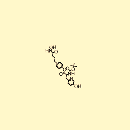 CC(C)(C)OC(=O)NC(Cc1ccc(O)cn1)C(=O)Oc1ccc(CCCC(=O)NO)cc1